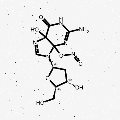 NC1=NC2(ON=O)N([C@H]3C[C@H](O)[C@@H](CO)O3)C=NC2(O)C(=O)N1